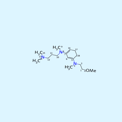 COCCN(C)C1=CC(N(C)CCCN(C)C)=CC[CH]1